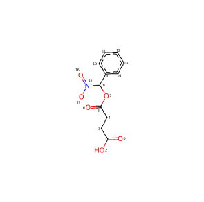 O=C(O)CCC(=O)OC(c1ccccc1)[N+](=O)[O-]